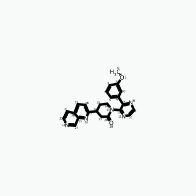 COc1cccc(-c2nccnc2N2CCC(c3ccc4ccncc4n3)CC2=O)c1